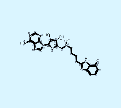 CC(C)N(CCCCc1nc2cccc(Cl)c2[nH]1)C[C@H]1OC(n2cnc3c(N)ncnc32)[C@H](O)[C@@H]1O